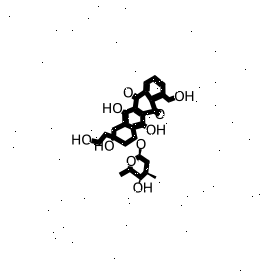 CC1O[C@@H](O[C@H]2C[C@](O)(CCO)Cc3c(O)c4c(c(O)c32)C(=O)c2c(CO)cccc2C4=O)C[C@@H](C)[C@@H]1O